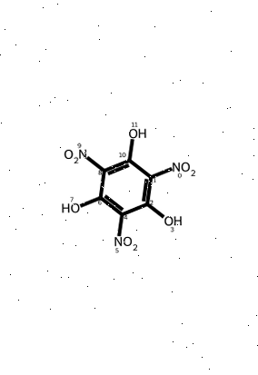 O=[N+]([O-])c1c(O)c([N+](=O)[O-])c(O)c([N+](=O)[O-])c1O